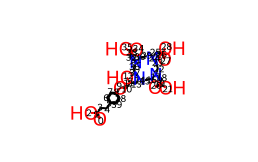 O=C(O)CCc1ccc(OCC(O)CN2CCN(CC(=O)O)CCN(CC(=O)O)CCN(CC(=O)O)CC2)cc1